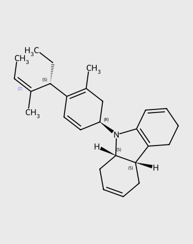 C/C=C(/C)[C@H](CC)C1=C(C)C[C@@H](N2C3=C(CCC=C3)[C@@H]3CC=CC[C@@H]32)C=C1